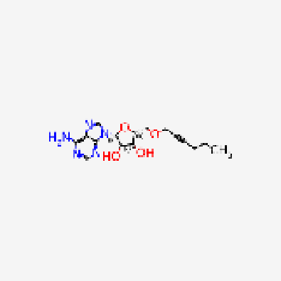 CCCC#CCOC[C@H]1O[C@@H](n2cnc3c(N)ncnc32)[C@H](O)[C@@H]1O